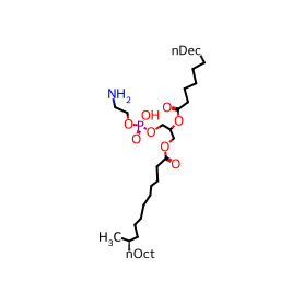 CCCCCCCCCCCCCCCC(=O)OC(COC(=O)CCCCCCCC[C@H](C)CCCCCCCC)COP(=O)(O)OCCN